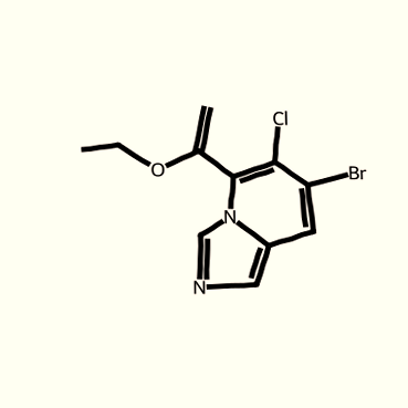 C=C(OCC)c1c(Cl)c(Br)cc2cncn12